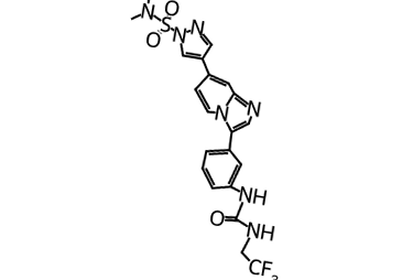 CN(C)S(=O)(=O)n1cc(-c2ccn3c(-c4cccc(NC(=O)NCC(F)(F)F)c4)cnc3c2)cn1